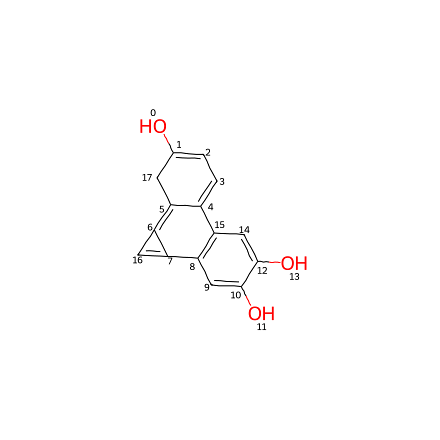 OC1=CC=c2c(c3c(c4cc(O)c(O)cc24)=C3)C1